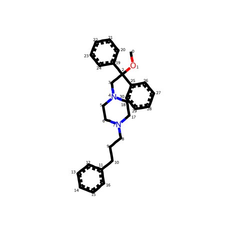 COC(CN1CCN(CCCc2ccccc2)CC1)(c1ccccc1)c1ccccc1